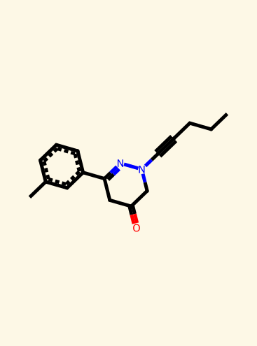 CCCC#CN1CC(=O)CC(c2cccc(C)c2)=N1